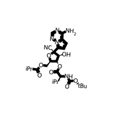 CC(C)C(=O)OC[C@H]1O[C@@](C#N)(c2ccc3c(N)ncnn23)[C@H](O)[C@@H]1OC(=O)[C@@H](NC(=O)OC(C)(C)C)C(C)C